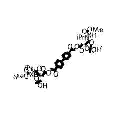 COC(=O)NN(C(=O)[C@@H](CC(=O)OCC(=O)c1ccc(-c2ccc(C(=O)COC(=O)C[C@@H](OC(C)(C)O)C(=O)N(NC(=O)OC)C(C)C)cc2)cc1)OC(C)(C)O)C(C)C